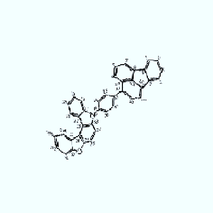 c1ccc2c(c1)-c1cccc3c(-c4ccc(-n5c6ccccc6c6c7c(ccc65)oc5ccccc57)cc4)ccc-2c13